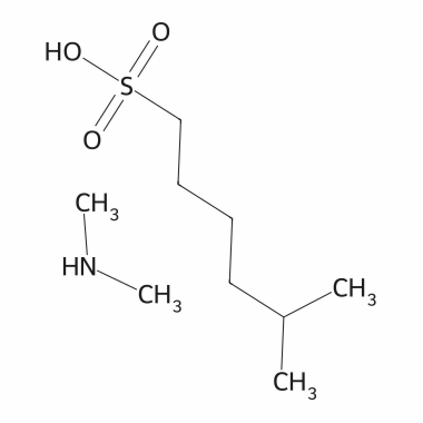 CC(C)CCCCS(=O)(=O)O.CNC